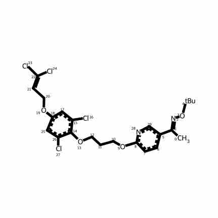 CC(=NOC(C)(C)C)c1ccc(OCCCOc2c(Cl)cc(OCC=C(Cl)Cl)cc2Cl)nc1